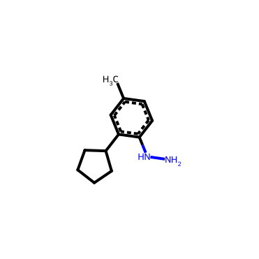 Cc1ccc(NN)c(C2CCCC2)c1